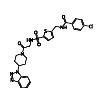 O=C(NCc1ccc(S(=O)(=O)NCC(=O)N2CCC(n3nnc4ccccc43)CC2)s1)c1ccc(Cl)cc1